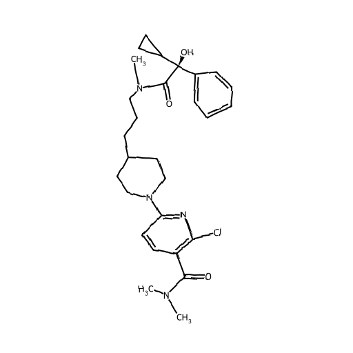 CN(C)C(=O)c1ccc(N2CCC(CCCN(C)C(=O)[C@@](O)(c3ccccc3)C3CC3)CC2)nc1Cl